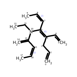 C=CC/C(C=C)=C(/C=C\C)N(CC)C(=C)/C=C\C